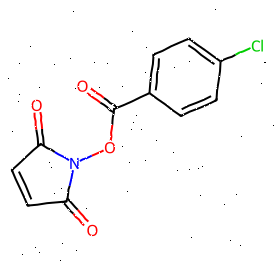 O=C(ON1C(=O)C=CC1=O)c1ccc(Cl)cc1